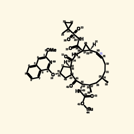 COc1cc2ccccc2c(O[C@@H]2C[C@H]3C(=O)N[C@]4(C(=O)NS(=O)(=O)C5(C)CC5)C[C@H]4/C=C\CC[C@@H](C)C[C@@H](C)[C@H](NC(=O)OC(C)(C)C)C(=O)N3C2)n1